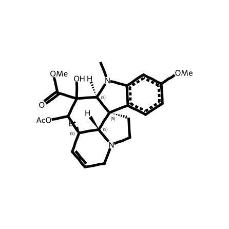 CC[C@@]12C=CCN3CC[C@]4(c5ccc(OC)cc5N(C)[C@@H]4C(O)(C(=O)OC)C1OC(C)=O)[C@H]32